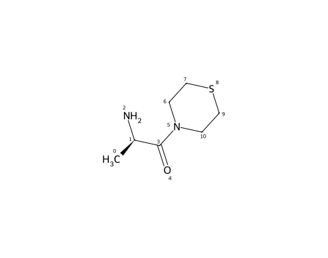 C[C@@H](N)C(=O)N1CCSCC1